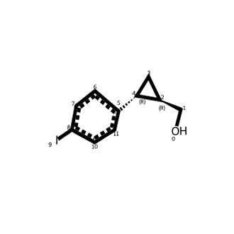 OC[C@@H]1C[C@H]1c1ccc(I)cc1